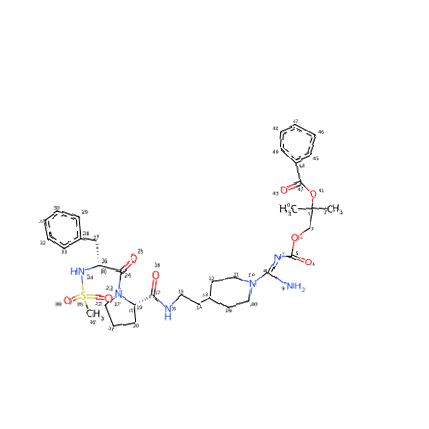 CC(C)(COC(=O)N=C(N)N1CCC(CCNC(=O)[C@@H]2CCCN2C(=O)[C@@H](Cc2ccccc2)NS(C)(=O)=O)CC1)OC(=O)c1ccccc1